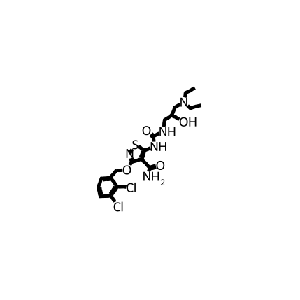 CCN(CC)CC(O)CNC(=O)Nc1snc(OCc2cccc(Cl)c2Cl)c1C(N)=O